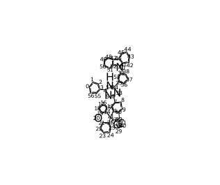 c1ccc(C2=NC(c3ccc4c(c3)C3(c5ccccc5Oc5ccccc53)c3ccccc3-4)=NC(c3cccc(-n4c5ccccc5c5ccccc54)c3)N2)cc1